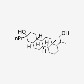 CCC[C@@]1(O)CC[C@H]2[C@@H](CC[C@@H]3[C@@H]2CC[C@]2(C)[C@@H](C(C)CO)CCC[C@@H]32)C1